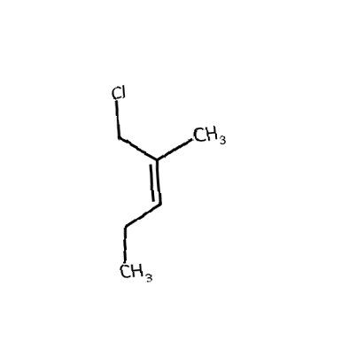 CCC=C(C)CCl